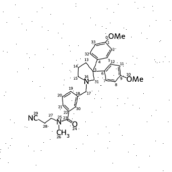 COc1ccc(C2(c3ccc(OC)cc3)CCCN(Cc3cccc(C(=O)N(C)CCC#N)c3)C2)cc1